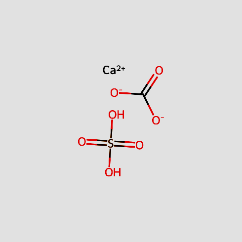 O=C([O-])[O-].O=S(=O)(O)O.[Ca+2]